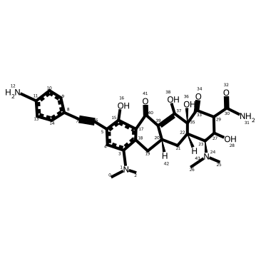 CN(C)c1cc(C#Cc2ccc(N)cc2)c(O)c2c1C[C@H]1C[C@H]3[C@H](N(C)C)C(O)C(C(N)=O)C(=O)[C@@]3(O)C(O)=C1C2=O